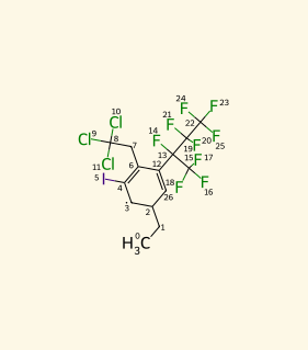 CCC1[CH]C(I)=C(CC(Cl)(Cl)Cl)C(C(F)(C(F)(F)F)C(F)(F)C(F)(F)F)=C1